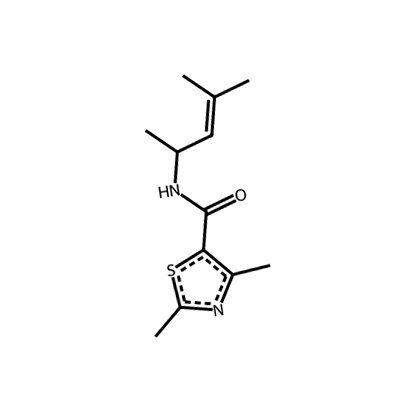 CC(C)=CC(C)NC(=O)c1sc(C)nc1C